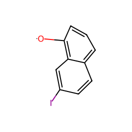 [O]c1cccc2ccc(I)cc12